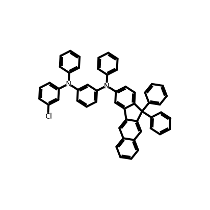 Clc1cccc(N(c2ccccc2)c2cccc(N(c3ccccc3)c3ccc4c(c3)-c3cc5ccccc5cc3C4(c3ccccc3)c3ccccc3)c2)c1